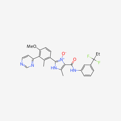 CCC(F)(F)c1cccc(NC(=O)c2c(C)[nH]c(-c3ccc(OC)c(-c4ccncn4)c3C)[n+]2[O-])c1